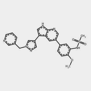 COc1ccc(-c2cnc3[nH]cc(-c4cnn(Cc5cccnc5)c4)c3c2)cc1NS(C)(=O)=O